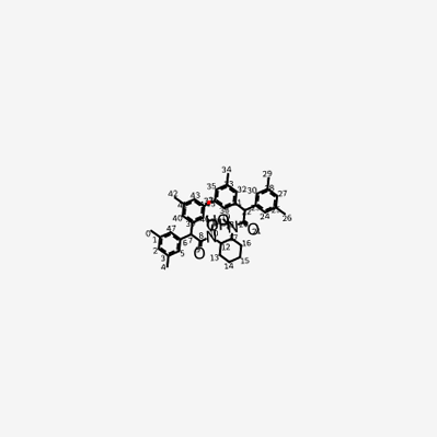 Cc1cc(C)cc(C(C(=O)N(O)C2CCCCC2N(O)C(=O)C(c2cc(C)cc(C)c2)c2cc(C)cc(C)c2)c2cc(C)cc(C)c2)c1